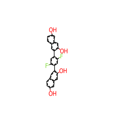 Oc1ccc2cc(-c3cc(F)c(-c4cc5ccc(O)cc5cc4O)cc3F)c(O)cc2c1